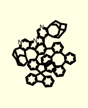 c1ccc2c(c1)-c1ccccc1-c1cccc(-c3cc(-c4cccc5c4-c4ccccc4C54c5ccccc5-c5ccccc54)c4c5c6c(ncc5n5c7cnc8c(c7c3c45)C3CC4CC5CC8CC54C3)C3CC4CC(C3)CC6C4)c1-c1ccccc1-2